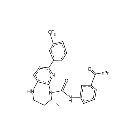 CCCC(=O)c1cccc(NC(=O)N2c3nc(-c4cccc(C(F)(F)F)c4)ccc3NCC[C@H]2C)c1